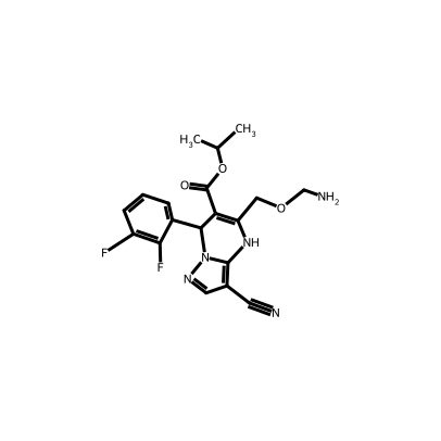 CC(C)OC(=O)C1=C(COCN)Nc2c(C#N)cnn2C1c1cccc(F)c1F